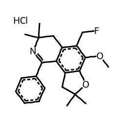 COc1c(CF)c2c(c3c1OC(C)(C)C3)C(c1ccccc1)=NC(C)(C)C2.Cl